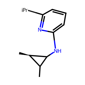 CC(C)c1cccc(NC2C(C)[C@H]2C)n1